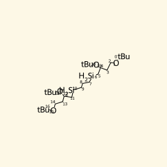 CC(C)(C)OCCC(C[SiH2]CCC[SiH2]CC(CCOC(C)(C)C)OC(C)(C)C)OC(C)(C)C